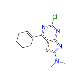 CN(C)c1nc2nc(Cl)nc(C3=CCCCC3)c2s1